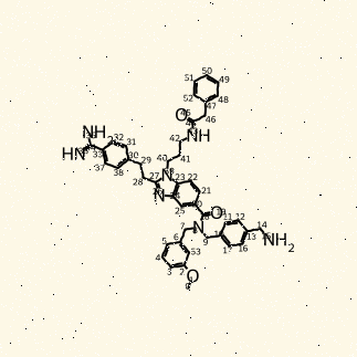 COc1cccc(CN(Cc2ccc(CN)cc2)C(=O)c2ccc3c(c2)nc(CCc2ccc(C(=N)N)cc2)n3CCCNC(=O)Cc2ccccc2)c1